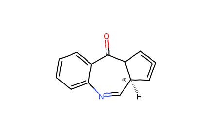 O=C1c2ccccc2N=C[C@@H]2C=C=CC12